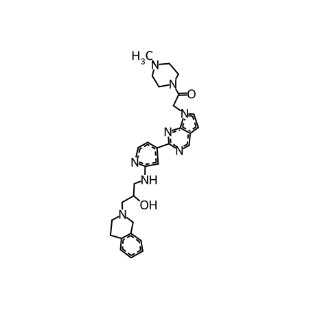 CN1CCN(C(=O)Cn2ccc3cnc(-c4ccnc(NCC(O)CN5CCc6ccccc6C5)c4)nc32)CC1